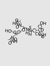 Cc1cn(CC[C@@H](COCCO[C@@H](CCN2CC(C)C(=O)NC2=O)CNC(=S)NC2=CC(C(=O)O)C(C3=C4C=CC(=O)CC4Oc4cc(O)ccc43)C=C2)OCCO)c(=O)[nH]c1=O